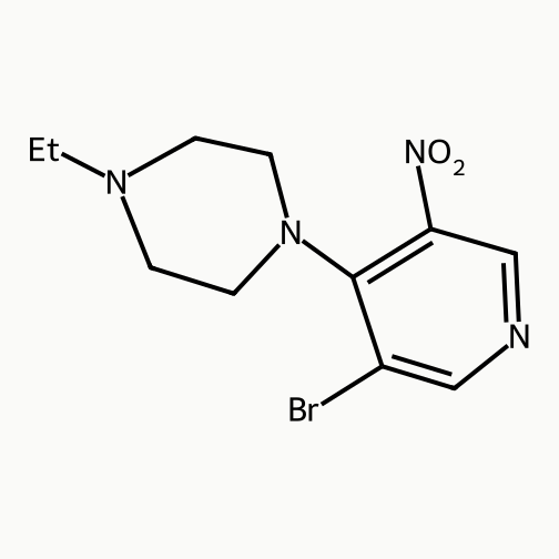 CCN1CCN(c2c(Br)cncc2[N+](=O)[O-])CC1